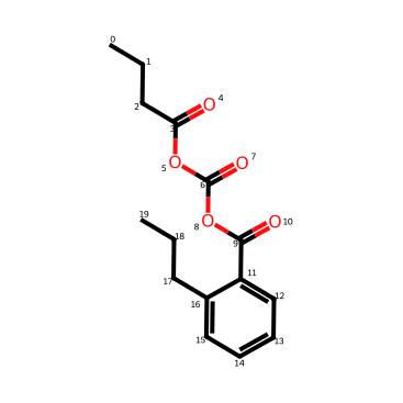 CCCC(=O)OC(=O)OC(=O)c1ccccc1CCC